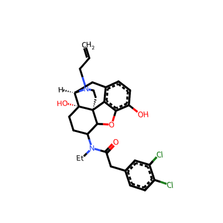 C=CCN1CC[C@]23c4c5ccc(O)c4OC2C(N(CC)C(=O)Cc2ccc(Cl)c(Cl)c2)CC[C@@]3(O)[C@H]1C5